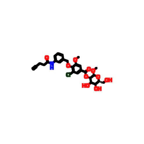 C#CCCC(=O)Nc1cccc(COc2c(Cl)cc(C(=O)O[C@@H]3C(O)[C@H](O)[C@@H](CO)O[C@@H]3OC)cc2OC)c1